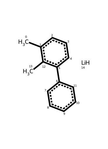 Cc1cccc(-c2ccccc2)c1C.[LiH]